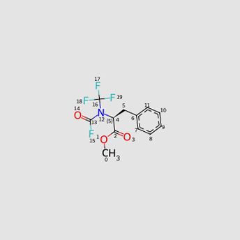 COC(=O)[C@H](Cc1ccccc1)N(C(=O)F)C(F)(F)F